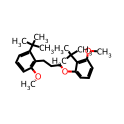 COc1cccc(C(C)(C)C)c1CCCOc1cccc(OC)c1C(C)(C)C